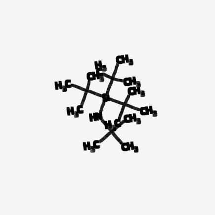 CC(C)(C)N[Si](C(C)(C)C)(C(C)(C)C)C(C)(C)C